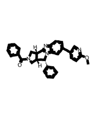 COc1ccc(-c2ccc3nc4n(c3c2)[C@H](c2ccccc2)[C@@H]2CN(C(=O)c3ccccc3)C[C@H]42)cn1